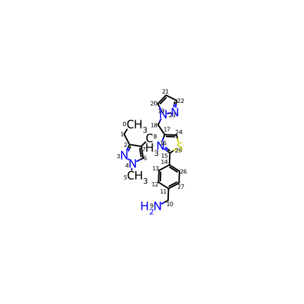 CCc1nn(C)cc1C.NCc1ccc(-c2nc(Cn3cccn3)cs2)cc1